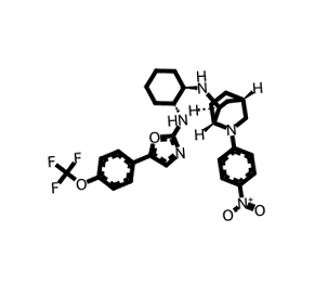 O=[N+]([O-])c1ccc(N2C[C@H]3CC[C@@H]2[C@@H](N[C@@H]2CCCC[C@H]2Nc2ncc(-c4ccc(OC(F)(F)F)cc4)o2)C3)cc1